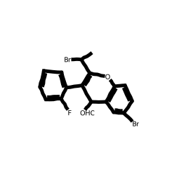 CC(Br)C1=C(c2ccccc2F)C(C=O)c2cc(Br)ccc2O1